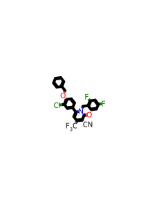 N#Cc1c(C(F)(F)F)cc(-c2ccc(OCc3ccccc3)c(Cl)c2)n(Cc2ccc(F)cc2F)c1=O